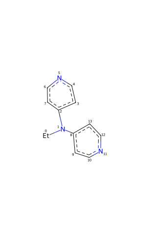 CCN(c1ccncc1)c1ccncc1